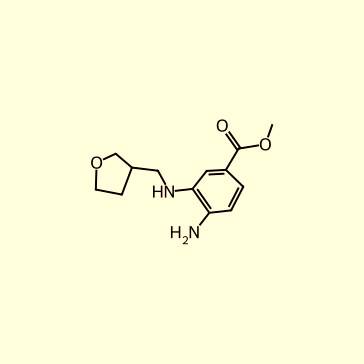 COC(=O)c1ccc(N)c(NCC2CCOC2)c1